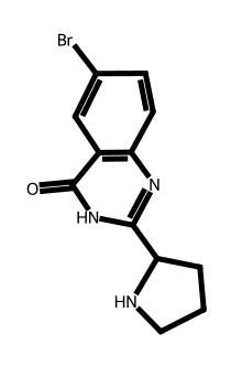 O=c1[nH]c(C2CCCN2)nc2ccc(Br)cc12